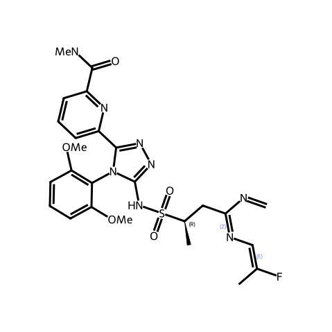 C=N/C(C[C@@H](C)S(=O)(=O)Nc1nnc(-c2cccc(C(=O)NC)n2)n1-c1c(OC)cccc1OC)=N\C=C(/C)F